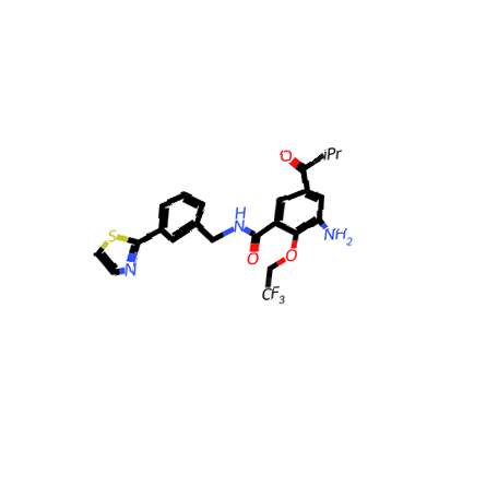 CC(C)C(=O)c1cc(N)c(OCC(F)(F)F)c(C(=O)NCc2cccc(-c3nccs3)c2)c1